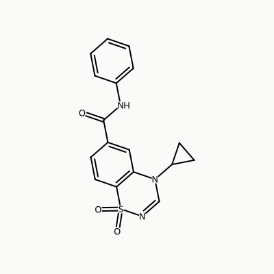 O=C(Nc1ccccc1)c1ccc2c(c1)N(C1CC1)C=NS2(=O)=O